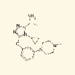 C[C@@H](N)c1nnc(Oc2cccc(N3CCN(C)CC3)c2)n1C1CC1